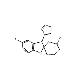 CN1CCCC2(C1)Oc1ccc(F)cc1C2n1cccc1